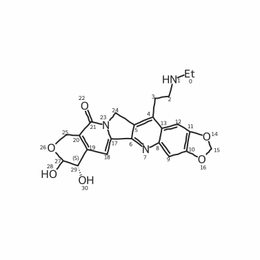 CCNCCc1c2c(nc3cc4c(cc13)OCO4)-c1cc3c(c(=O)n1C2)COC(O)[C@H]3O